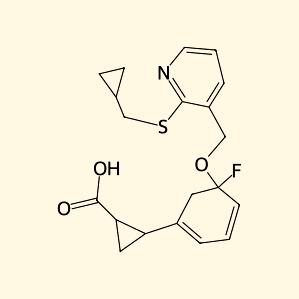 O=C(O)C1CC1C1=CC=CC(F)(OCc2cccnc2SCC2CC2)C1